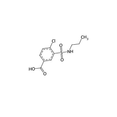 CCCNS(=O)(=O)c1cc(C(=O)O)ccc1Cl